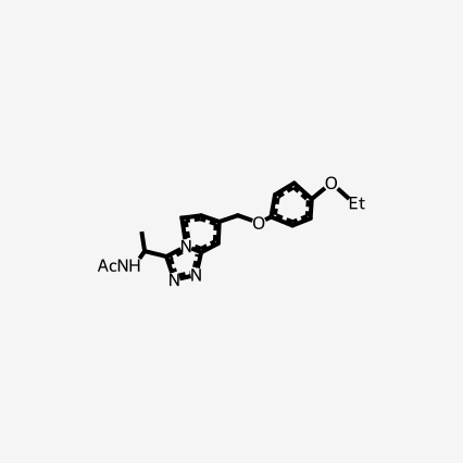 CCOc1ccc(OCc2ccn3c(C(C)NC(C)=O)nnc3c2)cc1